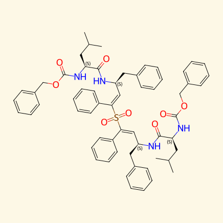 CC(C)C[C@H](NC(=O)OCc1ccccc1)C(=O)N[C@H](C=C(c1ccccc1)S(=O)(=O)C(=C[C@H](Cc1ccccc1)NC(=O)[C@H](CC(C)C)NC(=O)OCc1ccccc1)c1ccccc1)Cc1ccccc1